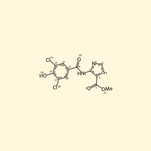 COC(=O)c1scnc1NC(=O)c1cc(Cl)c(O)c(Cl)c1